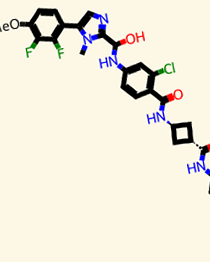 COc1ccc(-c2cnc(C(O)Nc3ccc(C(=O)N[C@H]4C[C@@H](C(=O)NCCN)C4)c(Cl)c3)n2C)c(F)c1F